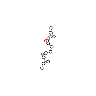 c1ccc(-c2ccc3c(c2)c2ccccc2n3-c2ccc3oc4ccc(-c5cccc(-c6cccc(-c7ccc8oc9ccc(-n%10c%11ccccc%11c%11cc(-c%12ccccc%12)ccc%11%10)cc9c8c7)c6)c5)cc4c3c2)cc1